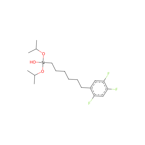 CC(C)O[Si](O)(CCCCCCc1cc(F)c(F)cc1F)OC(C)C